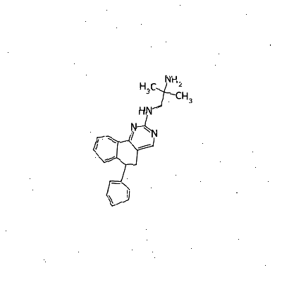 CC(C)(N)CNc1ncc2c(n1)-c1ccccc1C(c1ccccc1)C2